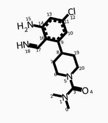 CN(C)C(=O)N1CCC(c2cc(Cl)cc(N)c2C=N)CC1